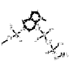 CC.Cn1ccc2ccccc21.F[B-](F)(F)F.F[B-](F)(F)F.F[B-](F)(F)F.NF